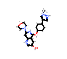 Cn1cc(C2CCC(Oc3nc(N4CCOCC4)cc4ncc(O)cc34)CC2)cn1